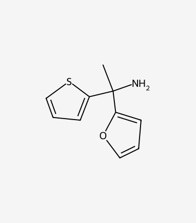 CC(N)(c1ccco1)c1cccs1